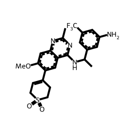 COc1cc2nc(C)nc(NC(C)c3cc(N)cc(C(F)(F)F)c3)c2cc1C1=CCS(=O)(=O)CC1